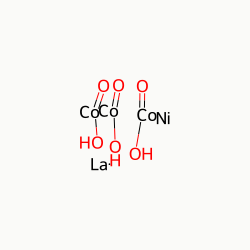 [La].[Ni].[O]=[Co][OH].[O]=[Co][OH].[O]=[Co][OH]